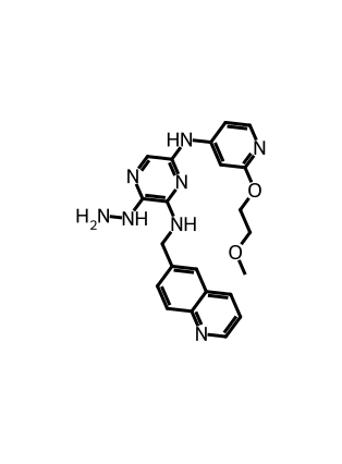 COCCOc1cc(Nc2cnc(NN)c(NCc3ccc4ncccc4c3)n2)ccn1